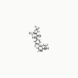 Cc1cc2c(-c3ccc(NC(=O)[C@@H](N)CC(C)(C)C)cc3C)ccnc2[nH]1